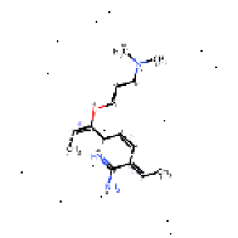 C/C=C(\C/C=C\C(=C/C)C(=N)N)OCCCN(C)C